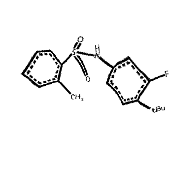 Cc1ccccc1S(=O)(=O)Nc1ccc(C(C)(C)C)c(F)c1